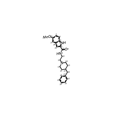 COc1ccc2[nH]c(C(=O)NCCN3CCC(Cc4ccccc4)CC3)cc2c1